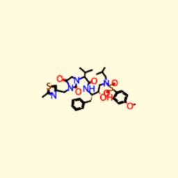 COc1ccc(S(=O)(=O)N(CC(C)C)C[C@H](O)[C@H](Cc2ccccc2)NC(=O)[C@H](C(C)C)N2CC(=O)N(Cc3csc(C)n3)C2=O)cc1